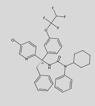 O=C(N[C@](Cc1ccccc1)(c1cccc(OC(F)(F)C(F)F)c1)c1ccc(Cl)cn1)N(c1ccccc1)C1CCCCC1